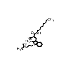 CCCCCCCCNC(=O)/C(C#N)=C/c1c(C)n(CCCN(C)C)c2ccccc12